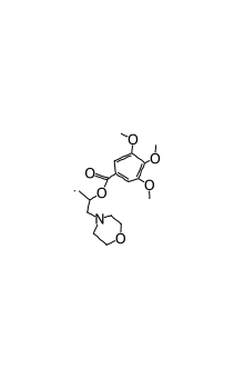 [CH2]C(CN1CCOCC1)OC(=O)c1cc(OC)c(OC)c(OC)c1